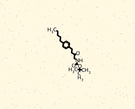 CCCCCc1ccc(CCC(=O)CNC(=O)OC(C)(C)C)cc1